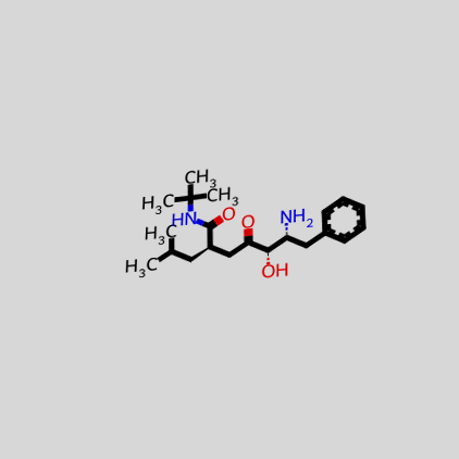 CC(C)C[C@H](CC(=O)[C@@H](O)[C@H](N)Cc1ccccc1)C(=O)NC(C)(C)C